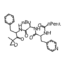 CCCCCC(=O)NC(Cc1ccncc1)C(=O)NC(CCCC)C(=O)NC(Cc1ccccc1)C(=O)C1(C)CO1